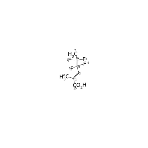 C/C(=C\C(F)(F)C(C)(F)F)C(=O)O